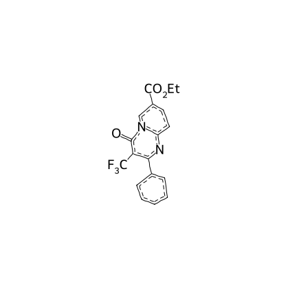 CCOC(=O)c1ccc2nc(-c3ccccc3)c(C(F)(F)F)c(=O)n2c1